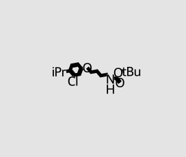 CC(C)c1ccc(OCCCCNC(=O)OC(C)(C)C)cc1Cl